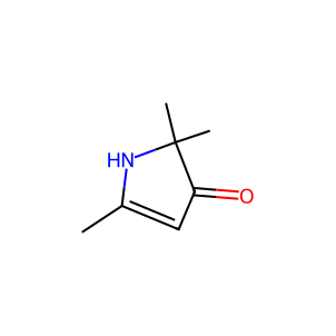 CC1=CC(=O)C(C)(C)N1